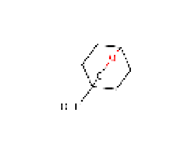 O=CC12CCC(CC1)OC2